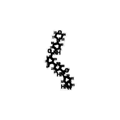 Cc1ccc(C(=O)Nc2ccc(N3CCOCC3)cc2)cc1-c1ccc(C(=O)Nc2ccc3cn[nH]c3c2)cn1